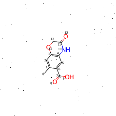 Cc1cc2c(cc1C(=O)O)NC(=O)CO2